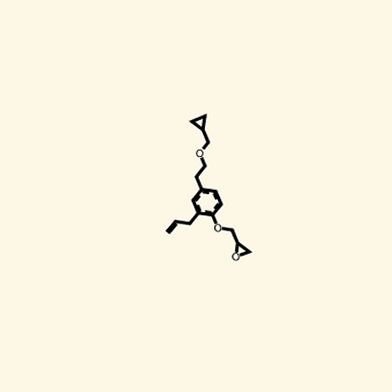 C=CCc1cc(CCOCC2CC2)ccc1OCC1CO1